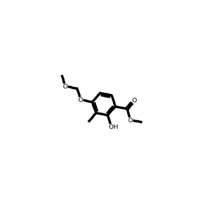 COCOc1ccc(C(=O)OC)c(O)c1C